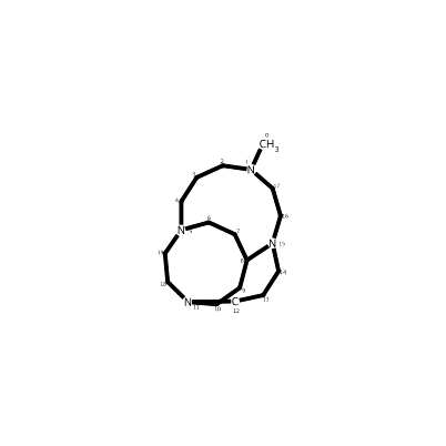 CN1CCCN2CCC3CCN(CCCN3CC1)CC2